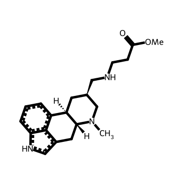 COC(=O)CCNC[C@@H]1C[C@@H]2c3cccc4[nH]cc(c34)C[C@H]2N(C)C1